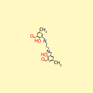 Cc1cc(C=O)c(O)c(/C=N/CCC/N=C/c2cc(C)cc(C=O)c2O)c1